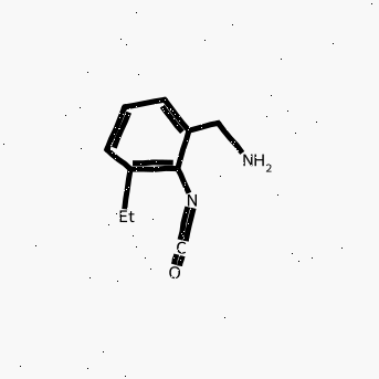 CCc1cccc(CN)c1N=C=O